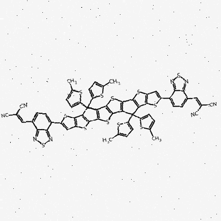 Cc1ccc(C2(c3ccc(C)s3)c3c(sc4cc(-c5ccc(C=C(C#N)C#N)c6nsnc56)sc34)-c3sc4c5c(sc4c32)-c2sc3cc(-c4ccc(C=C(C#N)C#N)c6nsnc46)sc3c2C5(c2ccc(C)s2)c2ccc(C)s2)s1